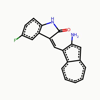 Nc1cc2cccccc-2c1/C=C1\C(=O)Nc2ccc(F)cc21